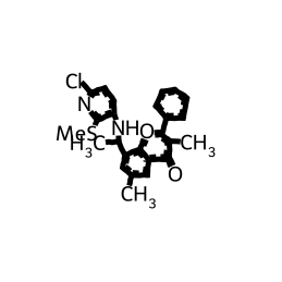 CSc1nc(Cl)ccc1NC(C)c1cc(C)cc2c(=O)c(C)c(-c3ccccc3)oc12